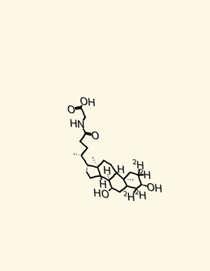 [2H]C1([2H])C[C@@]2(C)C(C[C@@H](O)[C@H]3[C@@H]4CC[C@H]([C@H](C)CCC(=O)NCC(=O)O)[C@@]4(C)CC[C@@H]32)C([2H])([2H])[C@@H]1O